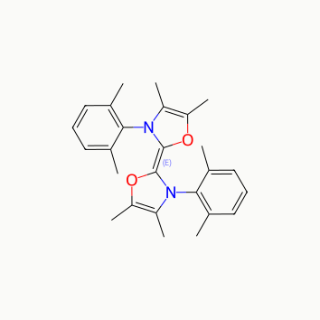 CC1=C(C)N(c2c(C)cccc2C)/C(=C2\OC(C)=C(C)N2c2c(C)cccc2C)O1